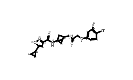 O=C(COc1ccc(Cl)c(F)c1)NC12CC(NC(=O)c3cc(C4CC4)on3)(C1)C2